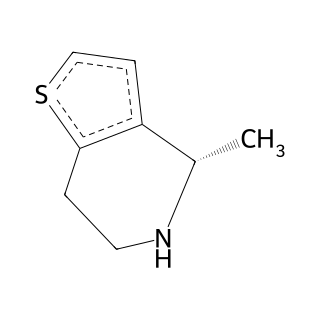 C[C@@H]1NCCc2sccc21